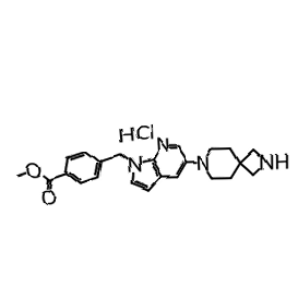 COC(=O)c1ccc(Cn2ccc3cc(N4CCC5(CC4)CNC5)cnc32)cc1.Cl